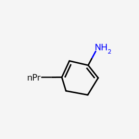 CCCC1=CC(N)=CCC1